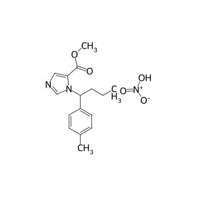 CCCC(c1ccc(C)cc1)n1cncc1C(=O)OC.O=[N+]([O-])O